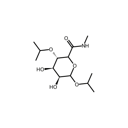 CNC(=O)C1OC(OC(C)C)[C@@H](O)[C@@H](O)[C@@H]1OC(C)C